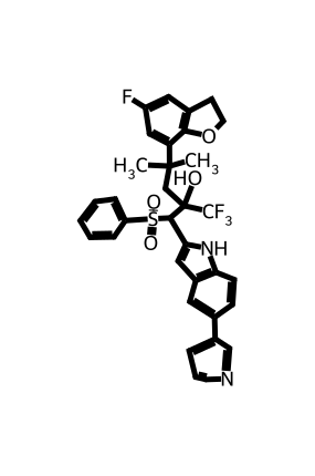 CC(C)(CC(O)(C(c1cc2cc(-c3cccnc3)ccc2[nH]1)S(=O)(=O)c1ccccc1)C(F)(F)F)c1cc(F)cc2c1OCC2